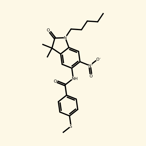 CCCCCN1C(=O)C(C)(C)c2cc(NC(=O)c3ccc(SC)cc3)c([N+](=O)[O-])cc21